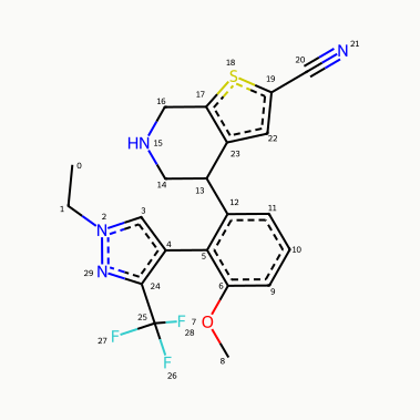 CCn1cc(-c2c(OC)cccc2C2CNCc3sc(C#N)cc32)c(C(F)(F)F)n1